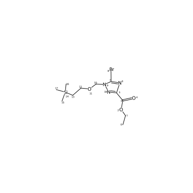 CCOC(=O)c1nc(Br)n(COCC[Si](C)(C)C)n1